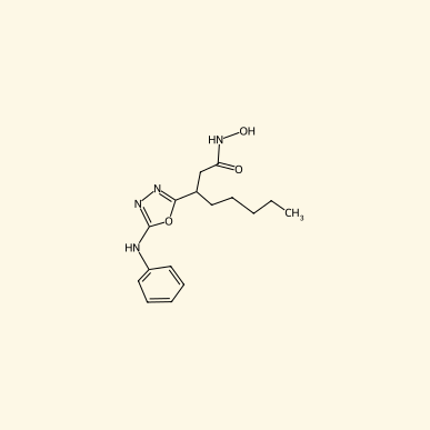 CCCCCC(CC(=O)NO)c1nnc(Nc2ccccc2)o1